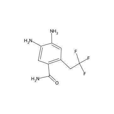 NC(=O)c1cc(N)c(N)cc1CC(F)(F)F